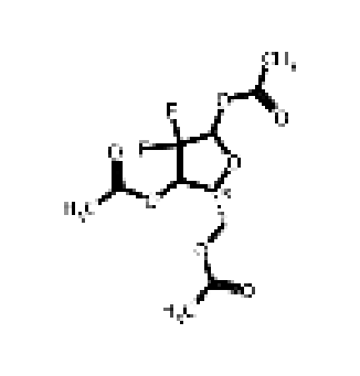 CC(=O)OC[C@H]1OC(OC(C)=O)C(F)(F)C1OC(C)=O